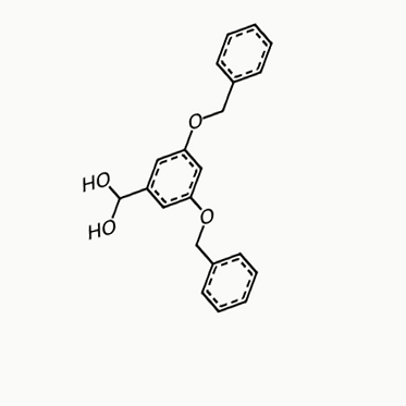 OC(O)c1cc(OCc2ccccc2)cc(OCc2ccccc2)c1